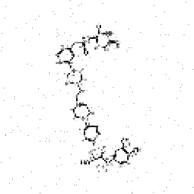 C[C@](O)(COc1ccc(N2CCN(CCN3CCN(c4cc(CC(=O)NC5CCC(=O)NC5=O)ccn4)CC3)CC2)cc1)C(=O)Nc1ccc(C#N)c(C(F)(F)F)c1